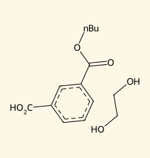 CCCCOC(=O)c1cccc(C(=O)O)c1.OCCO